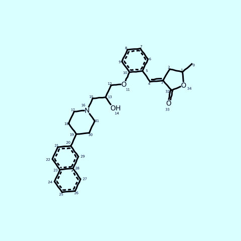 CC1CC(=Cc2ccccc2OCC(O)CN2CCC(c3ccc4ccccc4c3)CC2)C(=O)O1